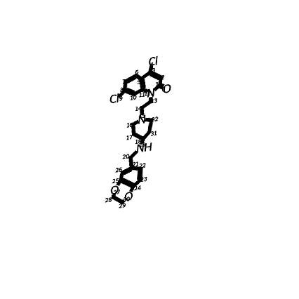 O=c1cc(Cl)c2ccc(Cl)cc2n1CCN1CCC(NCc2ccc3c(c2)OCCO3)CC1